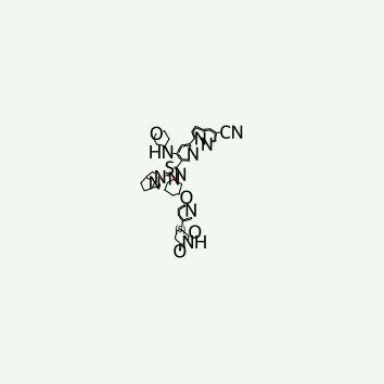 N#Cc1cnn2c(-c3cc(NC4CCOCC4)c(-c4nnc(N5CC6CCC(C5)N6C[C@H]5CC[C@H](Oc6ccc([C@@H]7CCC(=O)NC7=O)cn6)CC5)s4)cn3)ccc2c1